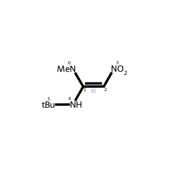 CN/C(=C\[N+](=O)[O-])NC(C)(C)C